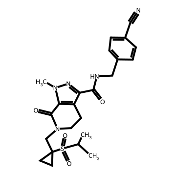 CC(C)S(=O)(=O)C1(CN2CCc3c(C(=O)NCc4ccc(C#N)cc4)nn(C)c3C2=O)CC1